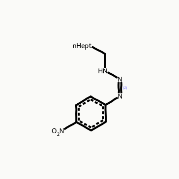 CCCCCCCCN/N=N\c1ccc([N+](=O)[O-])cc1